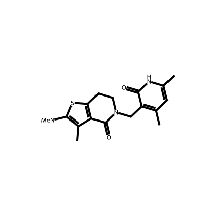 CNc1sc2c(c1C)C(=O)N(Cc1c(C)cc(C)[nH]c1=O)CC2